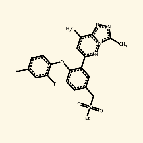 CCS(=O)(=O)Cc1ccc(Oc2ccc(F)cc2F)c(-c2cc(C)c3nnc(C)n3n2)c1